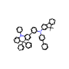 CC1(C)c2ccccc2-c2ccc(N(c3ccc(-c4ccccc4)cc3)c3cccc(-c4ccc5c(c4)N(c4ccccc4)c4ccccc4C5(c4ccccc4)c4ccccc4)c3)cc21